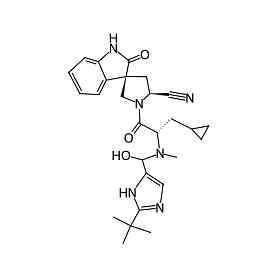 CN(C(O)c1cnc(C(C)(C)C)[nH]1)[C@@H](CC1CC1)C(=O)N1C[C@]2(C[C@H]1C#N)C(=O)Nc1ccccc12